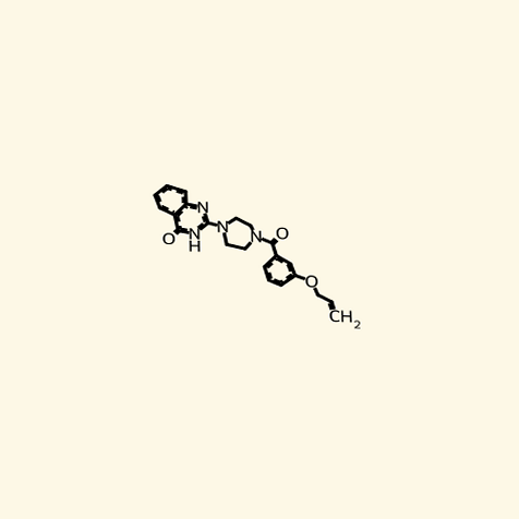 C=CCOc1cccc(C(=O)N2CCN(c3nc4ccccc4c(=O)[nH]3)CC2)c1